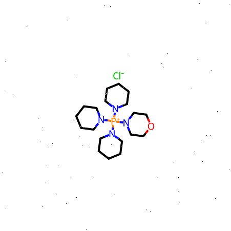 C1CCN([P+](N2CCCCC2)(N2CCCCC2)N2CCOCC2)CC1.[Cl-]